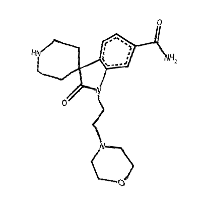 NC(=O)c1ccc2c(c1)N(CCN1CCOCC1)C(=O)C21CCNCC1